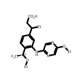 CCOc1cnc(Nc2cc(C(CC)CC(=O)O)ccc2[C@@H](OCC)C(F)(F)F)cn1